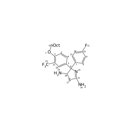 CCCCCCCCOc1ccc(C2(c3ccc(F)cc3)N=C(N)SC2N)cc1C(F)(F)F